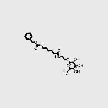 C[C@@H]1O[C@@H](OCCNC(=O)CCCCCNC(=O)OCc2ccccc2)[C@@H](O)[C@H](O)[C@@H]1O